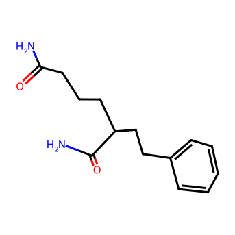 NC(=O)CCCC(CCc1ccccc1)C(N)=O